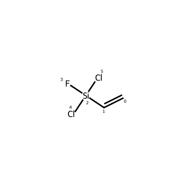 C=C[Si](F)(Cl)Cl